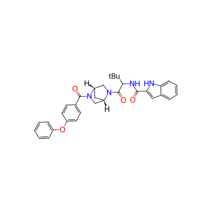 CC(C)(C)C(NC(=O)c1cc2ccccc2[nH]1)C(=O)N1C[C@@H]2C[C@H]1CN2C(=O)c1ccc(Oc2ccccc2)cc1